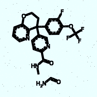 CNC(=O)c1ccc(C2(c3ccc(OC(F)(F)F)c(F)c3)CCOc3cccnc32)cn1.NC=O